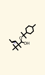 C/C=C/C(C)(C(O)OC(C)(C)C1CCC(C)CC1)C(C)(C)C